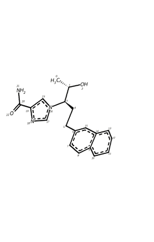 C[C@H](O)[C@@H](CCc1ccc2ccccc2c1)n1cnc(C(N)=O)c1